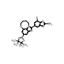 CC1(C)OB(c2cc3c4c(c2)nc(-c2cc(F)c5oc(N)nc5c2)n4CCCCO3)OC1(C)C